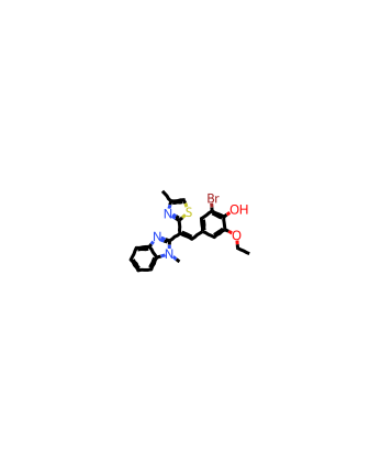 CCOc1cc(/C=C(\c2nc(C)cs2)c2nc3ccccc3n2C)cc(Br)c1O